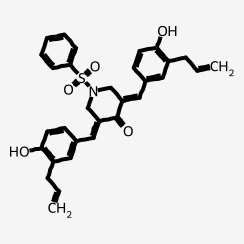 C=CCc1cc(/C=C2\CN(S(=O)(=O)c3ccccc3)C/C(=C\c3ccc(O)c(CC=C)c3)C2=O)ccc1O